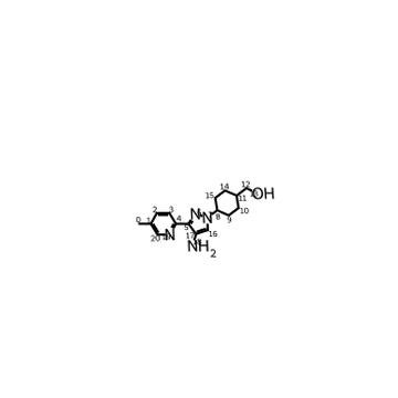 Cc1ccc(-c2nn(C3CCC(CO)CC3)cc2N)nc1